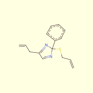 C=CCSC1(c2ccccc2)N=CC(CC=C)=N1